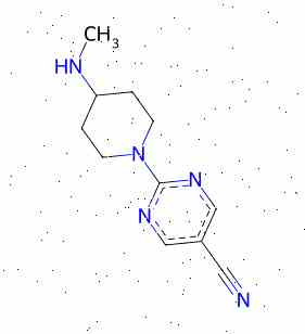 CNC1CCN(c2ncc(C#N)cn2)CC1